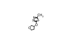 Cc1nnc(O[C@H]2CCOC2)s1